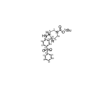 CC(C)(C)OC(=O)N1CC[C@H]2Nc3ccc(S(=O)(=O)c4ccccc4)cc3[C@@H]2CC1